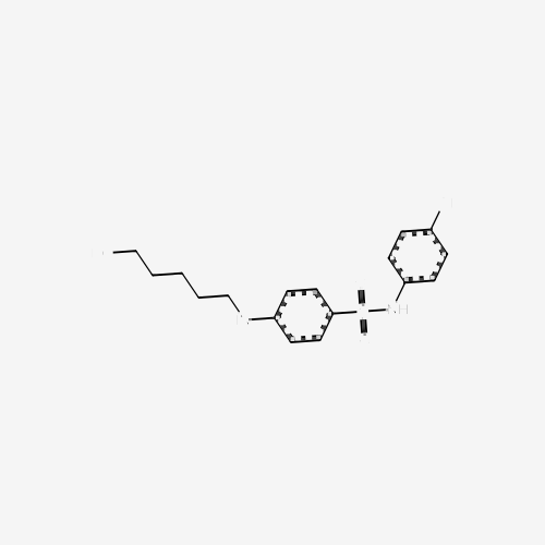 CCCCCCNc1ccc(S(=O)(=O)Nc2ccc(O)cc2)cc1